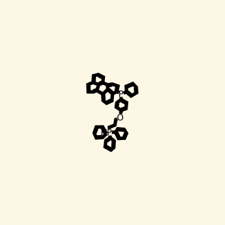 c1ccc(P(c2ccc(OCCC[PH](c3ccccc3)(c3ccccc3)c3ccccc3)cc2)c2ccc3c4cccc5cccc(c6cccc2c63)c54)cc1